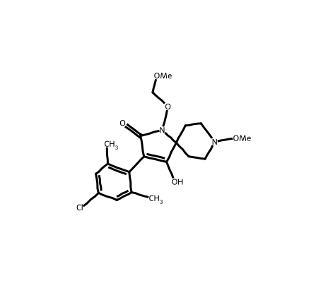 COCON1C(=O)C(c2c(C)cc(Cl)cc2C)=C(O)C12CCN(OC)CC2